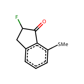 CSc1cccc2c1C(=O)C(F)C2